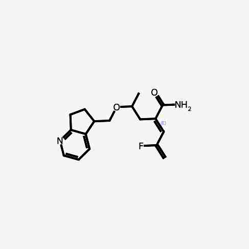 C=C(F)/C=C(\CC(C)OCC1CCc2ncccc21)C(N)=O